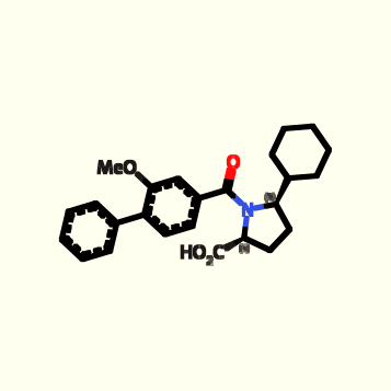 COc1cc(C(=O)N2[C@@H](C3CCCCC3)CC[C@H]2C(=O)O)ccc1-c1ccccc1